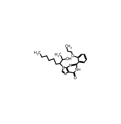 CCCCCCC(C(C)O)n1cnc2c(=O)[nH]c(-c3ccccc3OCCC)nc21